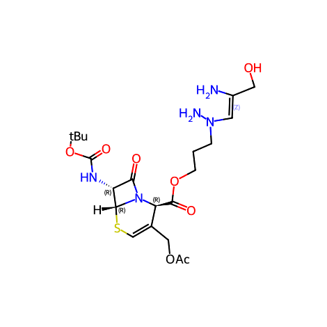 CC(=O)OCC1=CS[C@@H]2[C@H](NC(=O)OC(C)(C)C)C(=O)N2[C@H]1C(=O)OCCCN(N)/C=C(\N)CO